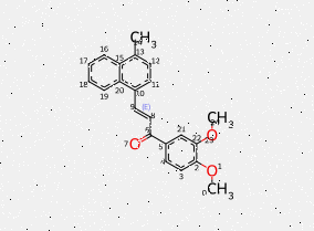 COc1ccc(C(=O)/C=C/c2ccc(C)c3ccccc23)cc1OC